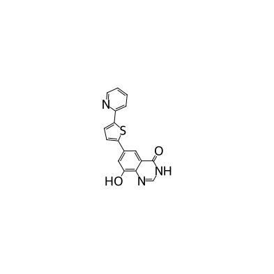 O=c1[nH]cnc2c(O)cc(-c3ccc(-c4ccccn4)s3)cc12